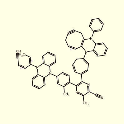 C#C/C=C\C(=C/C)N1c2ccccc2N(c2ccc(-c3nc(C)c(C#N)nc3C3=CC=C(N4C5=C(CC#CC/C=C\5)N(c5ccccc5)c5ccccc54)CC=C3)c(C)c2)c2ccccc21